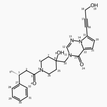 C[C@H](CC(=O)N1CCC(O)(Cn2cnn3c(C#CCO)ccc3c2=O)CC1)c1ccccc1